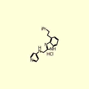 CC(C)CCc1cccc2[nH]c(CNc3ccncc3)nc12.Cl